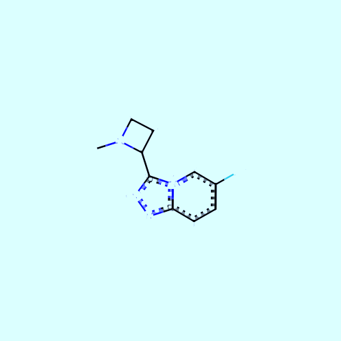 CN1CCC1c1nnc2ccc(F)cn12